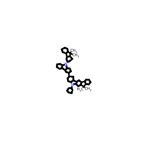 CC1(C)c2ccccc2-c2cc(-n3c4ccccc4c4cc(-c5ccc6c(c5)c5cc7c(cc5n6-c5ccccc5)C(C)(C)c5ccccc5-7)ccc43)ccc21